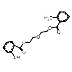 Cc1ccccc1C(=O)OCCOCCOC(=O)c1ccccc1C